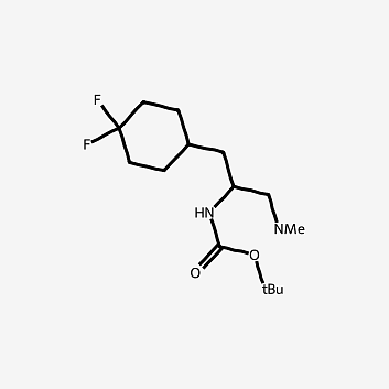 CNCC(CC1CCC(F)(F)CC1)NC(=O)OC(C)(C)C